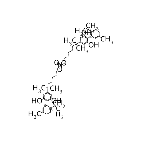 C=C(C)[C@H]1CCC(C)=C[C@@H]1c1c(O)cc(C(C)(C)CCCCCO[N+](=O)OCCCCCC(C)(C)c2cc(O)c([C@H]3C=C(C)CC[C@@H]3C(=C)C)c(O)c2)cc1O